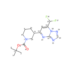 CC(C)(C)OC(=O)N1CCCC(c2cc(C(F)F)n3ncnc3n2)C1